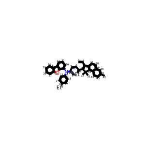 C=CC1=C(C(=C)/C=C\C(=C/CC)N(c2ccc(CC)cc2)c2cccc3c2oc2ccccc23)C(C)(C)c2c1ccc1cc(C)ccc21